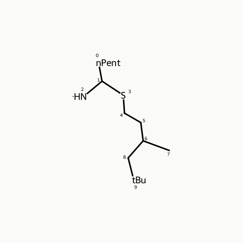 CCCCCC([NH])SCCC(C)CC(C)(C)C